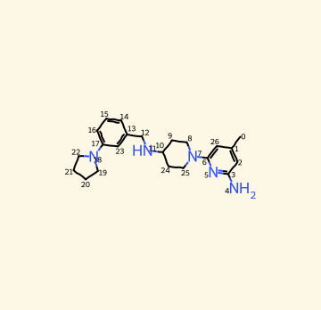 Cc1cc(N)nc(N2CCC(NCc3cccc(N4CCCC4)c3)CC2)c1